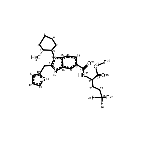 C[C@@H]1CCCCC1n1c(Cc2cccs2)nc2cc(C(=O)NC(CCC(F)(F)F)C(=O)OF)ccc21